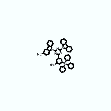 CC(C)(C)c1cc(-c2nc(-n3c4ccccc4c4ccccc43)nc(-n3c4ccccc4c4cc(C#N)ccc43)n2)cc([Si](c2ccccc2)(c2ccccc2)c2ccccc2)c1